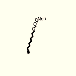 C#CCCCCCCCCOCOCCCCCCCCCC